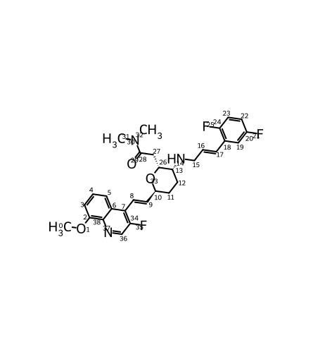 COc1cccc2c(C=C[C@@H]3CC[C@@H](NC/C=C/c4cc(F)ccc4F)[C@@H](CC(=O)N(C)C)O3)c(F)cnc12